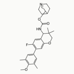 COc1c(C)cc(-c2cc3c(cc2F)C(NC(=O)OC2CN4CCC2CC4)C(C)(C)CO3)cc1C